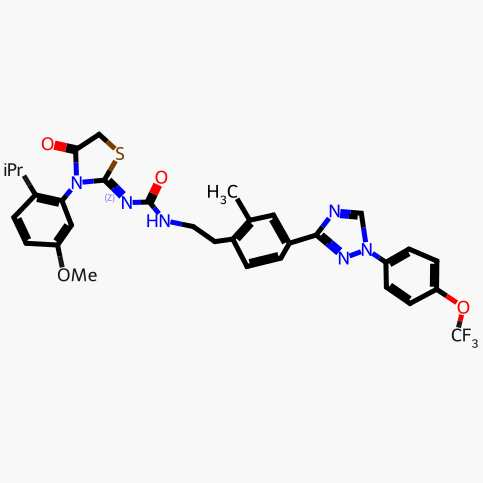 COc1ccc(C(C)C)c(N2C(=O)CS/C2=N\C(=O)NCCc2ccc(-c3ncn(-c4ccc(OC(F)(F)F)cc4)n3)cc2C)c1